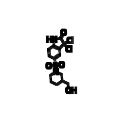 O=C1Nc2ccc(S(=O)(=O)N3CCCC(CO)C3)cc2C1(Cl)Cl